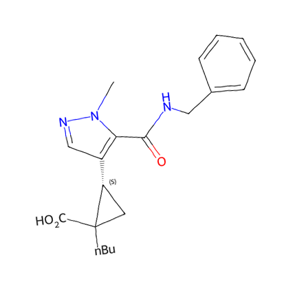 CCCCC1(C(=O)O)C[C@H]1c1cnn(C)c1C(=O)NCc1ccccc1